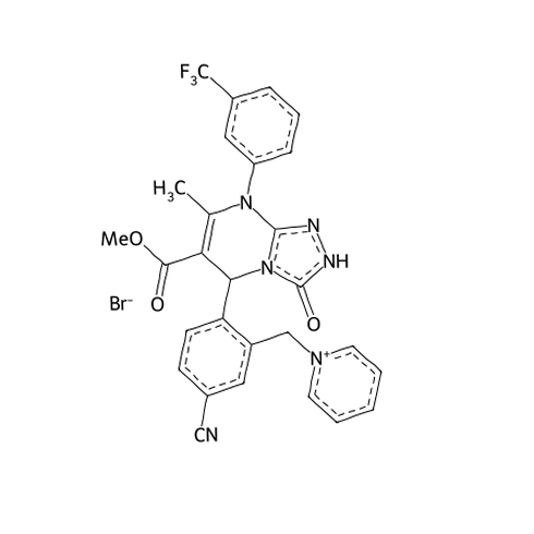 COC(=O)C1=C(C)N(c2cccc(C(F)(F)F)c2)c2n[nH]c(=O)n2C1c1ccc(C#N)cc1C[n+]1ccccc1.[Br-]